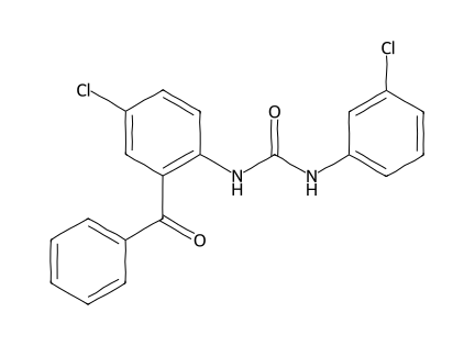 O=C(Nc1cccc(Cl)c1)Nc1ccc(Cl)cc1C(=O)c1ccccc1